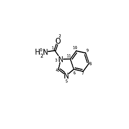 NC(=O)n1[c]nc2ccccc21